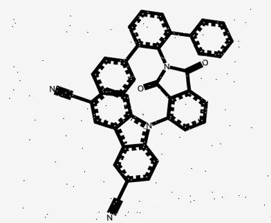 N#Cc1ccc2c(c1)c1cc(C#N)ccc1n2-c1cccc2c1C(=O)N(c1c(-c3ccccc3)cccc1-c1ccccc1)C2=O